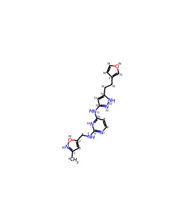 Cc1cc(CNc2nccc(Nc3cc(CCc4ccoc4)[nH]n3)n2)on1